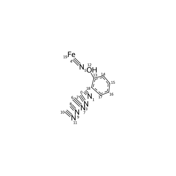 C#N.C#N.C#N.C#N.C#N.C#N.Oc1ccccc1.[Fe]